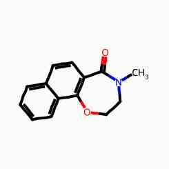 CN1CCOc2c(ccc3ccccc23)C1=O